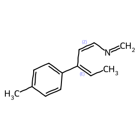 C=N/C=C\C(=C/C)c1ccc(C)cc1